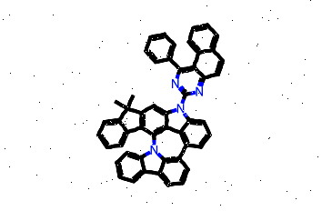 CC1(C)c2ccccc2-c2c1cc1c3c4c(cccc4n1-c1nc(-c4ccccc4)c4c(ccc5ccccc54)n1)c1cccc4c5ccccc5n(c23)c14